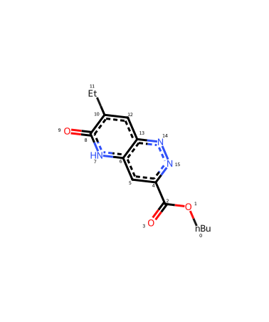 CCCCOC(=O)c1cc2[nH]c(=O)c(CC)cc2nn1